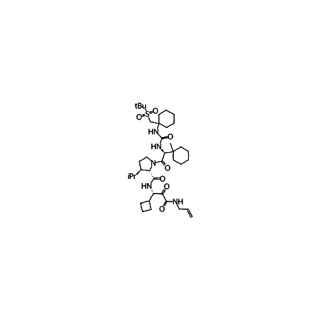 C=CCNC(=O)C(=O)[C@@H](NC(=O)[C@@H]1[C@@H](C(C)C)CCN1C(=O)[C@@H](NC(=O)NC1(CS(=O)(=O)C(C)(C)C)CCCCC1)C1(C)CCCCC1)C1CCC1